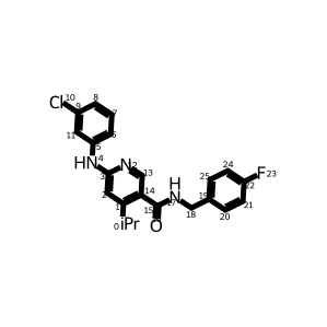 CC(C)c1cc(Nc2cccc(Cl)c2)ncc1C(=O)NCc1ccc(F)cc1